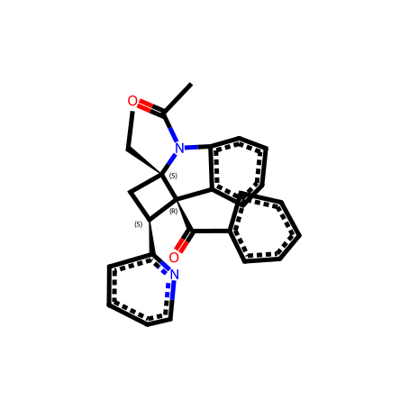 CC[C@]12C[C@H](c3ccccn3)[C@@]1(C(=O)c1ccccc1)c1ccccc1N2C(C)=O